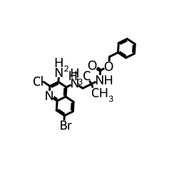 CC(C)(CNc1c(N)c(Cl)nc2cc(Br)ccc12)NC(=O)OCc1ccccc1